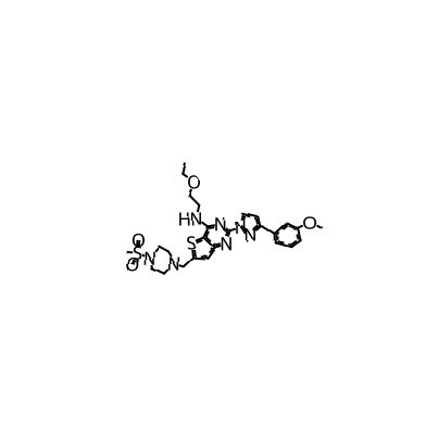 CCOCCNc1nc(-n2ccc(-c3cccc(OC)c3)n2)nc2cc(CN3CCN(S(C)(=O)=O)CC3)sc12